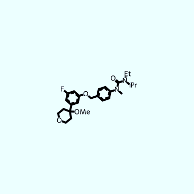 CCN(C(=O)N(C)c1ccc(COc2cc(F)cc(C3(OC)CCOCC3)c2)cc1)C(C)C